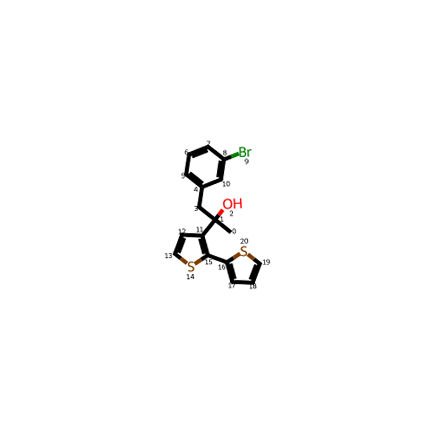 CC(O)(Cc1cccc(Br)c1)c1ccsc1-c1cccs1